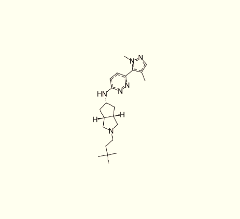 Cc1cnn(C)c1-c1ccc(N[C@@H]2C[C@@H]3CN(CCC(C)(C)C)C[C@@H]3C2)nn1